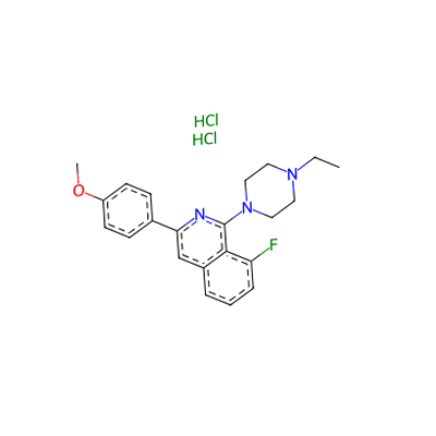 CCN1CCN(c2nc(-c3ccc(OC)cc3)cc3cccc(F)c23)CC1.Cl.Cl